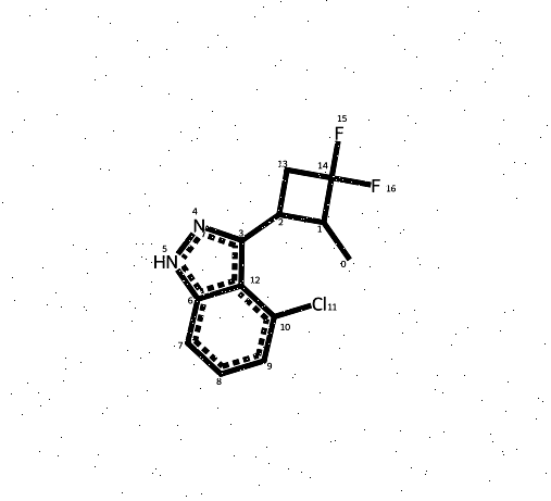 CC1C(c2n[nH]c3cccc(Cl)c23)CC1(F)F